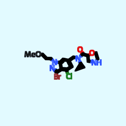 COCCCn1nc(Br)c2c(Cl)cc(CN(C(=O)C3CNCCO3)C3CC3)cc21